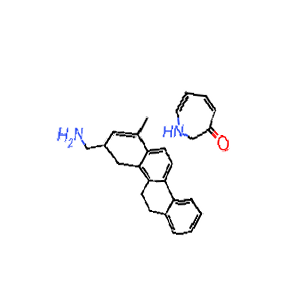 CC1=CC(CN)Cc2c1ccc1c2CCc2ccccc2-1.O=C1C=CC=CNC1